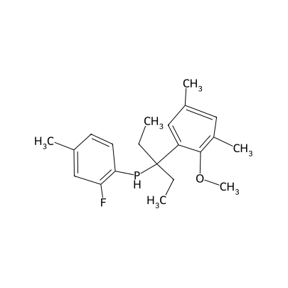 CCC(CC)(Pc1ccc(C)cc1F)c1cc(C)cc(C)c1OC